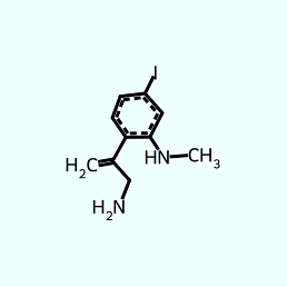 C=C(CN)c1ccc(I)cc1NC